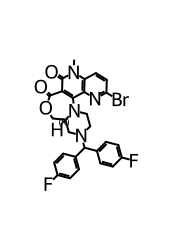 Cn1c(=O)c2c(c3nc(Br)ccc31)N1CCN(C(c3ccc(F)cc3)c3ccc(F)cc3)C[C@@H]1COC2=O